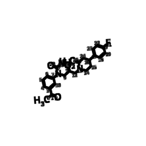 CC(=O)c1cccc(N(CC(=O)CN2CCC(c3ccc(F)cc3)CC2C)C(N)=O)c1